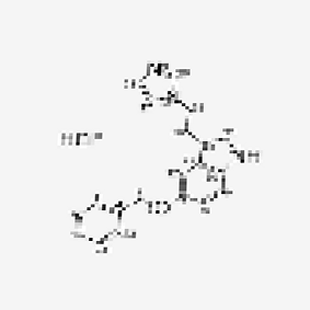 Cl.c1ccc(COc2ccc3c(c2)C(CCn2ccnc2)CN3)cc1